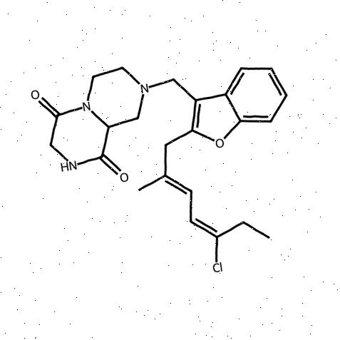 CC/C(Cl)=C\C=C(/C)Cc1oc2ccccc2c1CN1CCN2C(=O)CNC(=O)C2C1